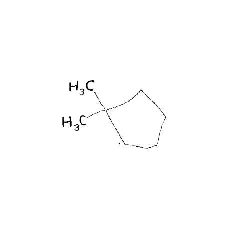 CC1(C)[CH]CCC1